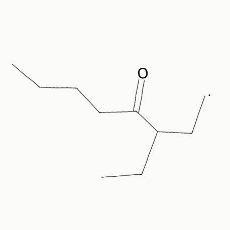 [CH2]CC(CC)C(=O)CCCC